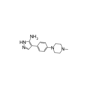 CN1CCN(c2ccc(-c3cn[nH]c3N)cc2)CC1